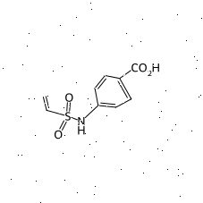 C=CS(=O)(=O)Nc1ccc(C(=O)O)cc1